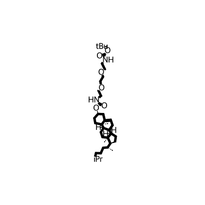 CC(C)CCC[C@@H](C)[C@@H]1CC[C@@H]2[C@@H]3CC=C4C[C@@H](OC(=O)NCCOCCOCCNC(=O)OC(C)(C)C)CC[C@]4(C)[C@@H]3CC[C@@]21C